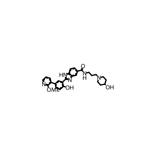 COc1ncccc1-c1ccc(O)c(-c2nc3cc(C(=O)NCCCN4CCC(O)CC4)ccc3[nH]2)c1